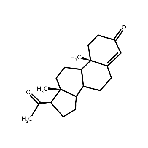 CC(=O)C1CCC2C3CCC4=CC(=O)CC[C@@]4(C)C3CC[C@@]12C